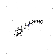 O=[C]OC/C=C/CCCc1ccc(Cl)cc1